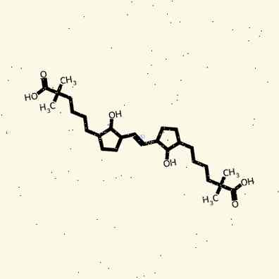 CC(C)(CCCCC1CCC(/C=C/C2CCC(CCCCC(C)(C)C(=O)O)C2O)C1O)C(=O)O